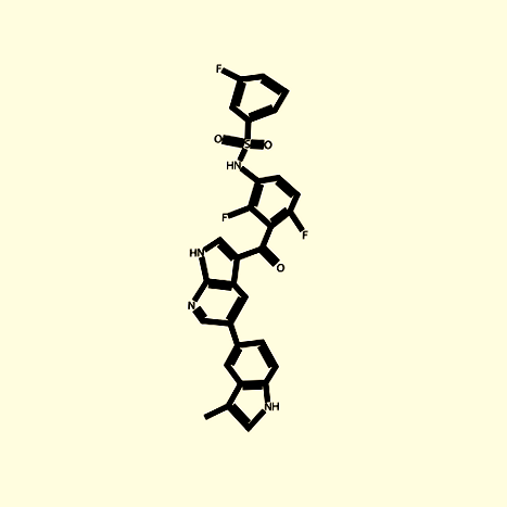 Cc1c[nH]c2ccc(-c3cnc4[nH]cc(C(=O)c5c(F)ccc(NS(=O)(=O)c6cccc(F)c6)c5F)c4c3)cc12